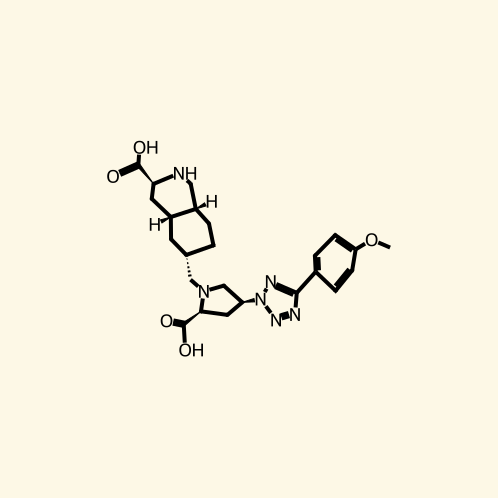 COc1ccc(-c2nnn([C@H]3C[C@@H](C(=O)O)N(C[C@H]4CC[C@H]5CN[C@H](C(=O)O)C[C@H]5C4)C3)n2)cc1